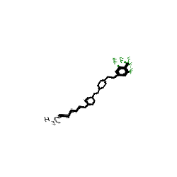 CCCCCCCC1CCC(CCC2CCC(CCc3cc(F)c(C(F)(F)F)c(F)c3)CC2)CC1